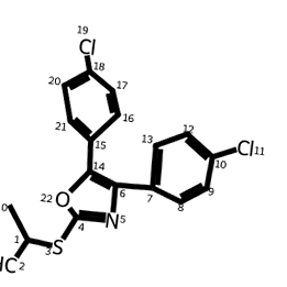 CC([C]=O)Sc1nc(-c2ccc(Cl)cc2)c(-c2ccc(Cl)cc2)o1